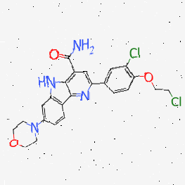 NC(=O)c1cc(-c2ccc(OCCCl)c(Cl)c2)nc2c1[nH]c1cc(N3CCOCC3)ccc12